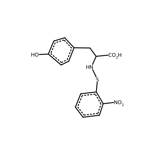 O=C(O)C(Cc1ccc(O)cc1)NSc1ccccc1[N+](=O)[O-]